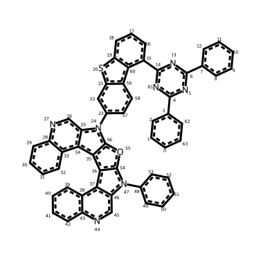 c1ccc(-c2nc(-c3ccccc3)nc(-c3cccc4sc5cc(-n6c7cnc8ccccc8c7c7c8c9c%10ccccc%10ncc9n(-c9ccccc9)c8oc76)ccc5c34)n2)cc1